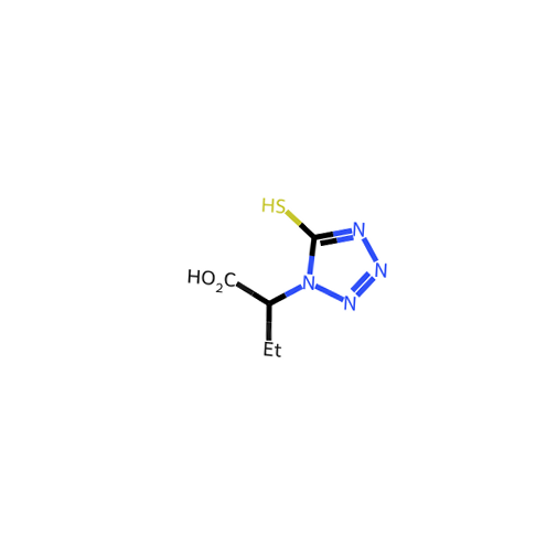 CCC(C(=O)O)n1nnnc1S